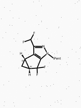 CCCC(C)n1nc(C(F)F)c2c1C(F)(F)[C@@H]1C[C@H]21